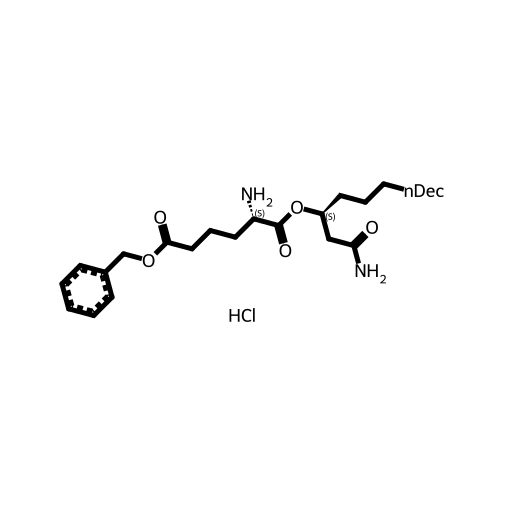 CCCCCCCCCCCCC[C@@H](CC(N)=O)OC(=O)[C@@H](N)CCCC(=O)OCc1ccccc1.Cl